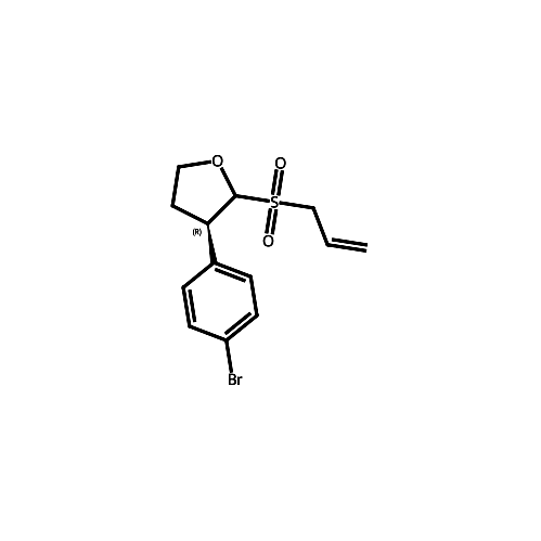 C=CCS(=O)(=O)C1OCC[C@@H]1c1ccc(Br)cc1